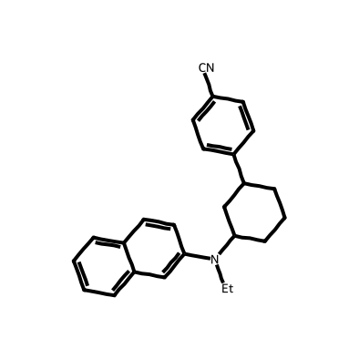 CCN(c1ccc2ccccc2c1)C1CCCC(c2ccc(C#N)cc2)C1